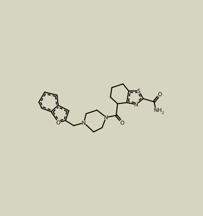 NC(=O)c1nc2c(s1)CCCC2C(=O)N1CCN(Cc2cc3ccccc3o2)CC1